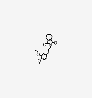 CCOc1cc(CCCN2C(=O)C3=C(CCCC3)C2=O)ccc1OC